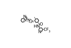 Cc1ccc(C(=O)Nc2cncc(C(F)(F)F)c2)cc1[C@@H]1CCN(c2cnc3ccccn23)C1